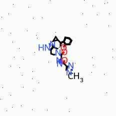 Cn1cnc(-c2nnc(C(=O)N3CCc4[nH]cnc4[C@@H]3c3oc4ccccc4c3C3CC3)o2)c1